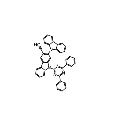 C#Cc1cc2c3ccccc3n(-c3nc(-c4ccccc4)nc(-c4ccccc4)n3)c2cc1-n1c2ccccc2c2ccccc21